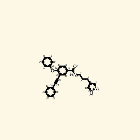 O=C(NCCCc1cn[nH]c1)c1ccc(Oc2ccccc2)c(C#Cc2ccccc2)c1